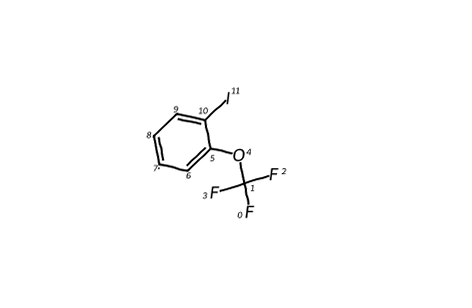 FC(F)(F)Oc1c[c]ccc1I